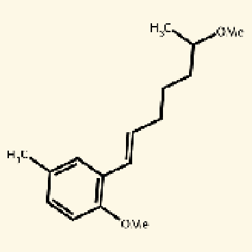 COc1ccc(C)cc1/C=C/CCCC(C)OC